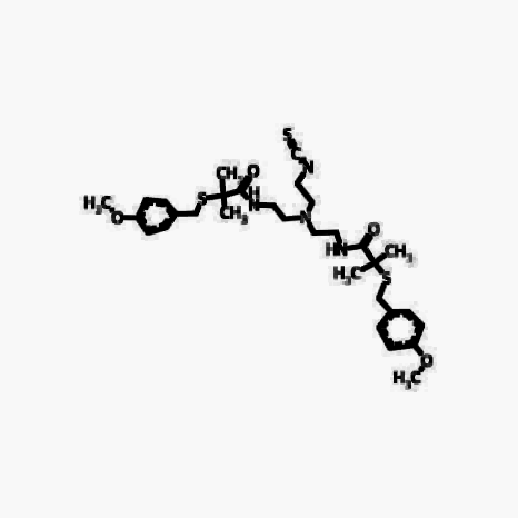 COc1ccc(CSC(C)(C)C(=O)NCCN(CCN=C=S)CCNC(=O)C(C)(C)SCc2ccc(OC)cc2)cc1